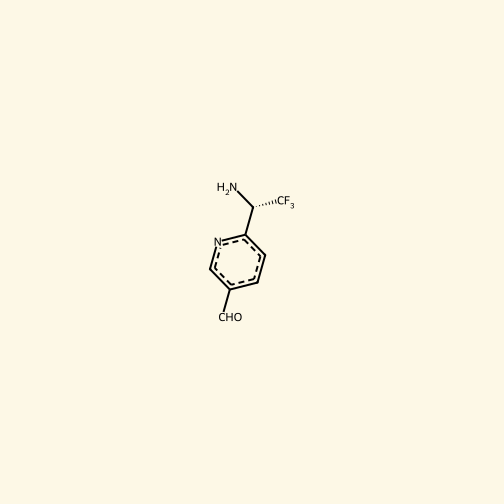 N[C@@H](c1ccc(C=O)cn1)C(F)(F)F